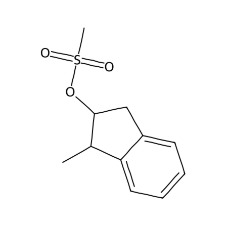 CC1c2ccccc2CC1OS(C)(=O)=O